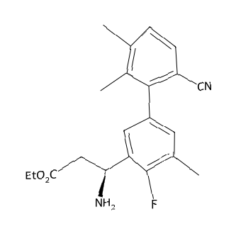 CCOC(=O)C[C@H](N)c1cc(-c2c(C#N)ccc(C)c2C)cc(C)c1F